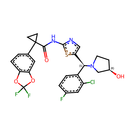 O=C(Nc1ncc([C@H](c2ccc(F)cc2Cl)N2CC[C@@H](O)C2)s1)C1(c2ccc3c(c2)OC(F)(F)O3)CC1